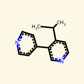 CC(C)c1ccncc1-c1ccncc1